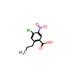 CCCc1cc(Br)c([N+](=O)[O-])cc1C(=O)O